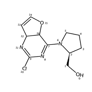 OC[C@@H]1CCCN1C1=NC(Cl)=NC2C=COC12